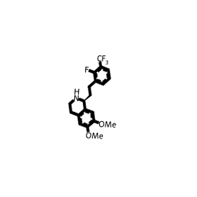 COc1cc2c(cc1OC)[C@H](CCc1cccc(C(F)(F)F)c1F)NCC2